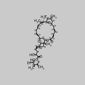 C=C(COC(=O)C(O)C/C=C\CC1OC2/C=C/C/C=C/C(C)=C\C3OC(C/C=C/C=C/C(=O)OC(C2)C1(C)CO)CC(C)C3C)C(C)C(O)CC